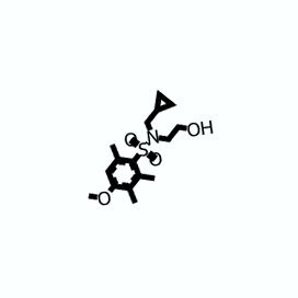 COc1cc(C)c(S(=O)(=O)N(CCO)CC2CC2)c(C)c1C